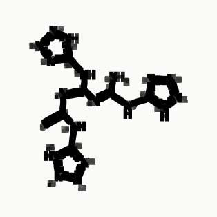 C=C(/N=C(\N=C(/N)Nc1nnn[nH]1)Nc1nnn[nH]1)Nc1nnn[nH]1